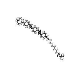 CCC(=O)OCCCCCCCCCCOc1ccc(N=Nc2ccc(N=Nc3ccc(N4CCCOCC4)cc3)cc2)cc1